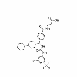 O=C(O)CCNC(=O)c1ccc(C(NC(=O)Nc2cc(Br)cc(C(F)(F)F)c2)C2CCC(C3CCCCC3)CC2)cc1